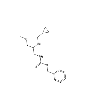 COCC(CNC(=O)OCc1ccccc1)NCC1CC1